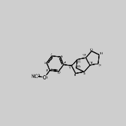 N#COc1cccc(C2CC3CC2C2CCCC32)c1